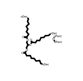 CCCCCCCCCCCCCCCCCC(=O)OCC(COC(=O)CCCCCCCCCCCCCCCCC)OC(=O)CCCCCCCCCCCCCCCCC.CCCCCOCCCCC